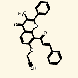 C#CCOc1ccc2c(=O)c(C)c(-c3ccccc3)oc2c1C(=O)C=Cc1ccccc1